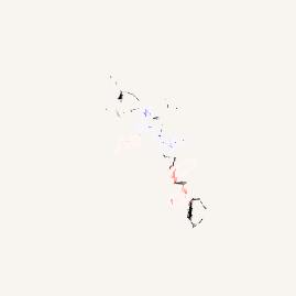 Cc1cc(NCCCOCCOc2ccccc2)nc(NCCO)c1/N=N/c1ccc([N+](=O)[O-])cc1C#N